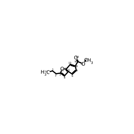 CCCc1cc2ccc(C(=O)OC)cc2o1